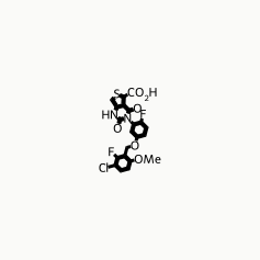 COc1ccc(Cl)c(F)c1COc1ccc(F)c(-n2c(=O)[nH]c3csc(C(=O)O)c3c2=O)c1